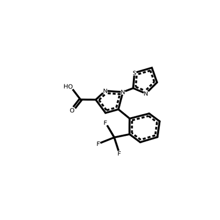 O=C(O)c1cc(-c2ccccc2C(F)(F)F)n(-c2nccs2)n1